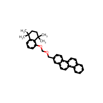 CC1(C)CCC(C)(C)c2c(OCOCc3ccc4c(ccc5c6ccccc6ccc45)c3)cccc21